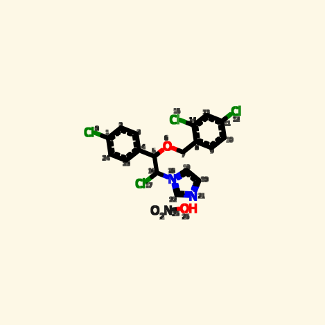 Clc1ccc(C(OCc2ccc(Cl)cc2Cl)C(Cl)n2ccnc2)cc1.O=[N+]([O-])O